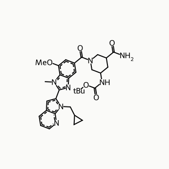 COc1cc(C(=O)N2CC(NC(=O)OC(C)(C)C)CC(C(N)=O)C2)cc2nc(-c3cc4cccnc4n3CC3CC3)n(C)c12